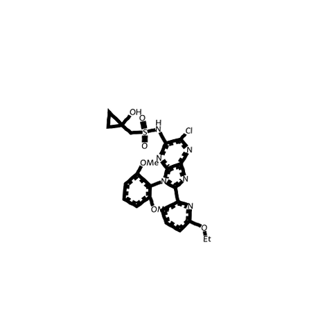 CCOc1cccc(-c2nc3nc(Cl)c(NS(=O)(=O)CC4(O)CC4)nc3n2-c2c(OC)cccc2OC)n1